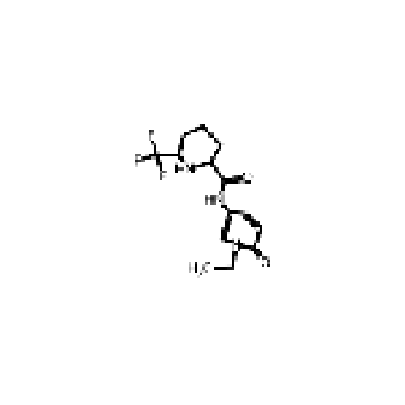 CCn1cc(NC(=O)C2CCCC(C(F)(F)F)N2)ccc1=O